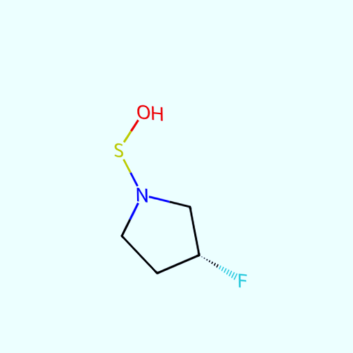 OSN1CC[C@@H](F)C1